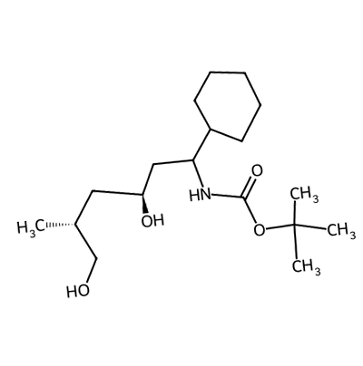 C[C@@H](CO)C[C@H](O)CC(NC(=O)OC(C)(C)C)C1CCCCC1